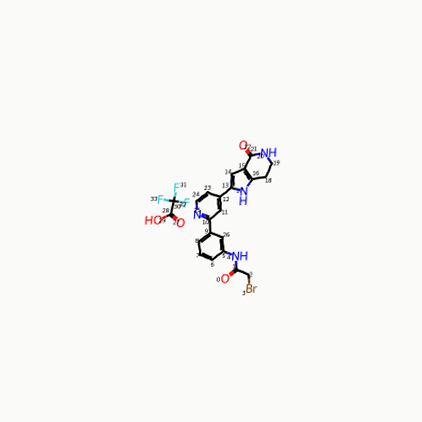 O=C(CBr)Nc1cccc(-c2cc(-c3cc4c([nH]3)CCNC4=O)ccn2)c1.O=C(O)C(F)(F)F